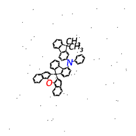 CC1(C)c2ccccc2-c2ccc(N(c3ccccc3)c3cccc4c3-c3ccccc3C43c4ccc5ccccc5c4Oc4c3ccc3ccccc43)cc21